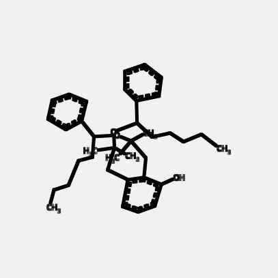 CCCCCC(OC(C)(C)Cc1cccc(O)c1CC(C)(C)OC(CCCCC)c1ccccc1)c1ccccc1